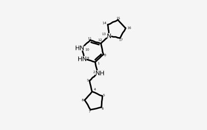 C1=C(NCC2CCCC2)NNC=C1N1CCCC1